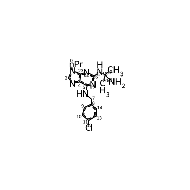 CCCn1cnc2c(NCc3ccc(Cl)cc3)nc(NC(C)(C)N)nc21